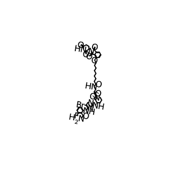 NC(=O)c1c(F)cccc1Nc1nc(N[C@@H]2CCCN(S(=O)(=O)CCNC(=O)CCCCCCCCOc3cccc4c3C(=O)N(C3CCC(=O)NC3=O)C4=O)C2)ncc1Br